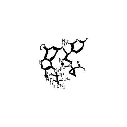 [2H]C([2H])(Nc1c(C#N)cnc2c(Cl)cc(NC(c3cn(C4(C(F)F)CC4)nn3)c3ccc(F)nc3C)cc12)C(C)(C)C